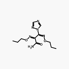 CCCON=C(C(N)=O)C(=NOCCC)n1cncn1